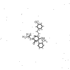 Cc1ccccc1-c1c(O)c(CCc2cccc(Cl)c2)nn(CC(C)C)c1=O